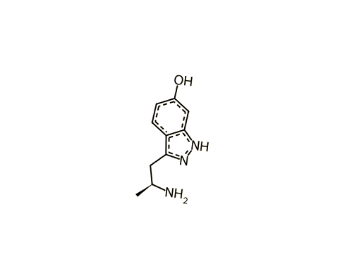 C[C@H](N)Cc1n[nH]c2cc(O)ccc12